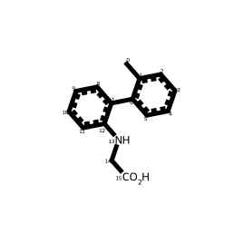 Cc1ccccc1-c1ccccc1NCC(=O)O